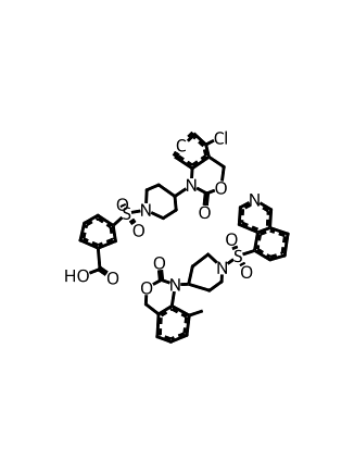 Cc1cccc2c1N(C1CCN(S(=O)(=O)c3cccc4cnccc34)CC1)C(=O)OC2.O=C(O)c1cccc(S(=O)(=O)N2CCC(N3C(=O)OCc4c(Cl)cccc43)CC2)c1